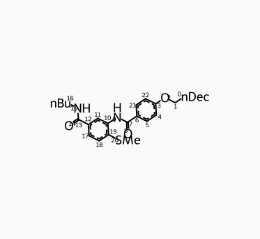 CCCCCCCCCCCOc1ccc(C(=O)Nc2cc(C(=O)NCCCC)ccc2SC)cc1